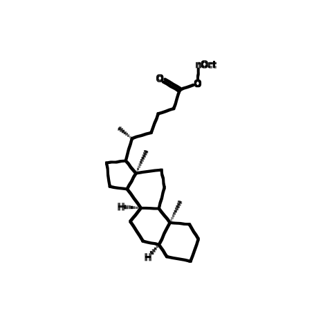 CCCCCCCCOC(=O)CCC[C@@H](C)C1CCC2[C@@H]3CC[C@@H]4CCCC[C@]4(C)C3CC[C@@]21C